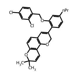 CCCc1ccc(C2=Cc3ccc4c(c3OC2)C=CC(C)(C)O4)c(OCc2ccc(Cl)cc2Cl)c1